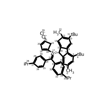 Cc1cc2c(c(C(C)(C)C)c1)-c1cc(C(C)(C)C)c(C)cc1[CH]2[Zr+2]([C]1=CC=CC1)=[C](c1ccc(C(C)C)cc1)c1ccc(C(C)C)cc1.[Cl-].[Cl-]